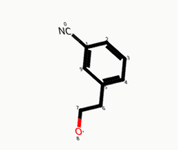 N#Cc1cccc(CC[O])c1